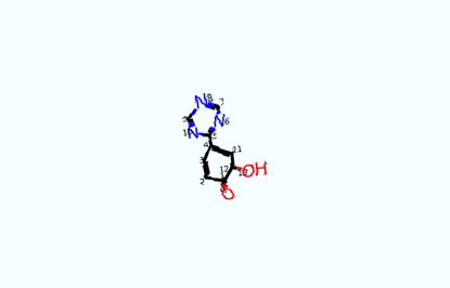 O=C1C=CC(c2ncncn2)=CC1O